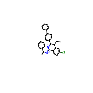 C=C(/N=C(\N=C(\c1ccc(-c2ccccc2)cc1)C(C)CC)c1ccc(Cl)cc1)c1ccccc1